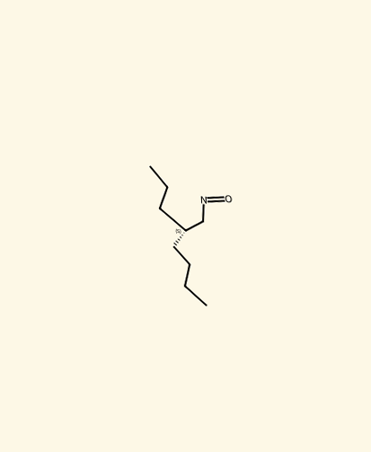 CCCC[C@H](CCC)CN=O